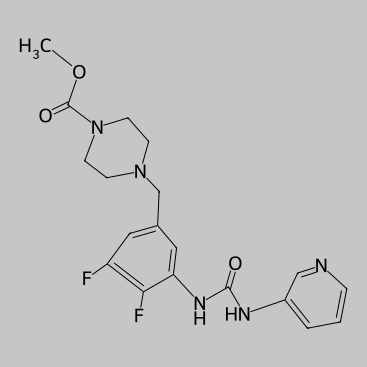 COC(=O)N1CCN(Cc2cc(F)c(F)c(NC(=O)Nc3cccnc3)c2)CC1